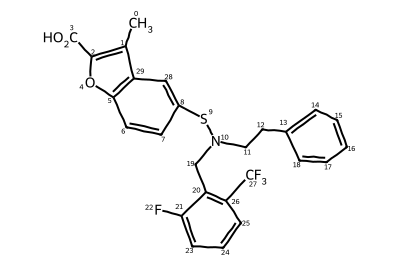 Cc1c(C(=O)O)oc2ccc(SN(CCc3ccccc3)Cc3c(F)cccc3C(F)(F)F)cc12